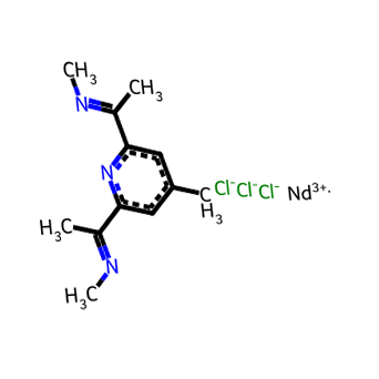 CN=C(C)c1cc(C)cc(C(C)=NC)n1.[Cl-].[Cl-].[Cl-].[Nd+3]